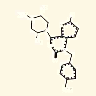 CC[C@@H]1CN(c2nc(=O)n(Cc3ccc(OC)cc3)c3ccc(Cl)nc23)[C@@H](C)CN1C(=O)O